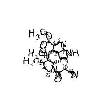 COC(=O)c1cnc2[nH]ccc2c1N(C)C1CN(C(=O)CC#N)CCC1C